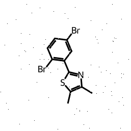 Cc1nc(-c2cc(Br)ccc2Br)sc1C